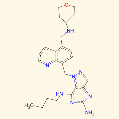 CCCCNc1nc(N)nc2cnn(Cc3ccc(CNC4CCOCC4)c4cccnc34)c12